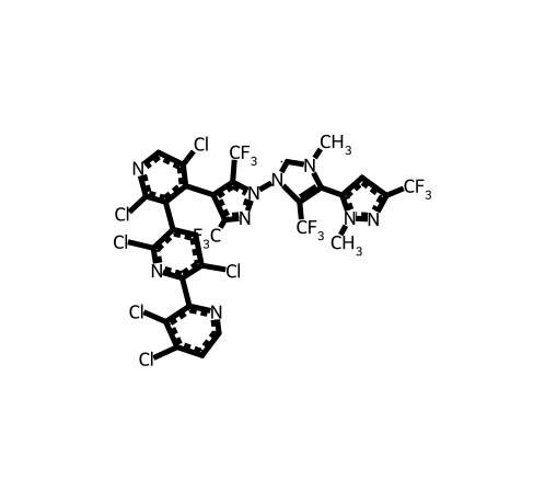 CN1[CH]N(n2nc(C(F)(F)F)c(-c3c(Cl)cnc(Cl)c3-c3cc(Cl)c(-c4nccc(Cl)c4Cl)nc3Cl)c2C(F)(F)F)C(C(F)(F)F)=C1c1cc(C(F)(F)F)nn1C